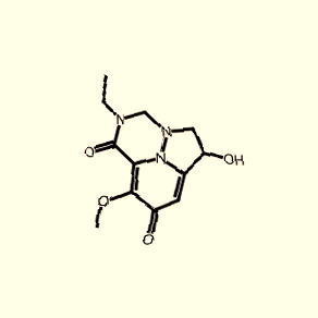 CCN1CN2CC(O)c3cc(=O)c(OC)c(n32)C1=O